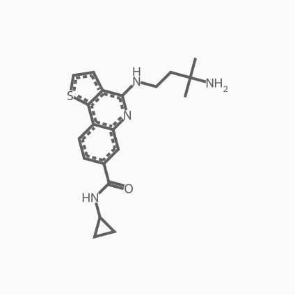 CC(C)(N)CCNc1nc2cc(C(=O)NC3CC3)ccc2c2sccc12